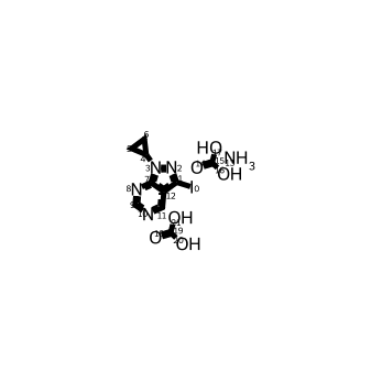 Ic1nn(C2CC2)c2ncncc12.N.O=C(O)O.O=C(O)O